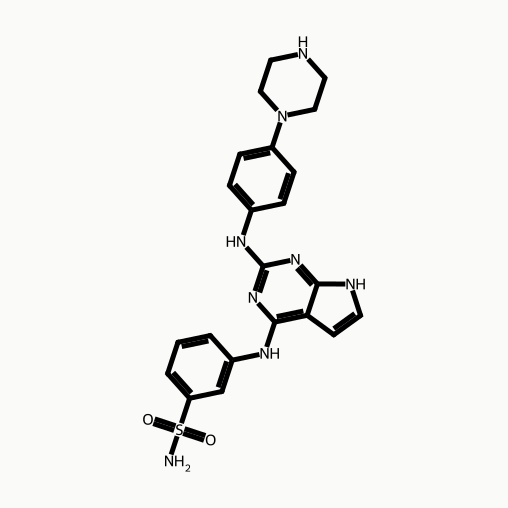 NS(=O)(=O)c1cccc(Nc2nc(Nc3ccc(N4CCNCC4)cc3)nc3[nH]ccc23)c1